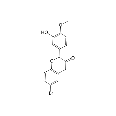 COc1ccc(C2Oc3ccc(Br)cc3CC2=O)cc1O